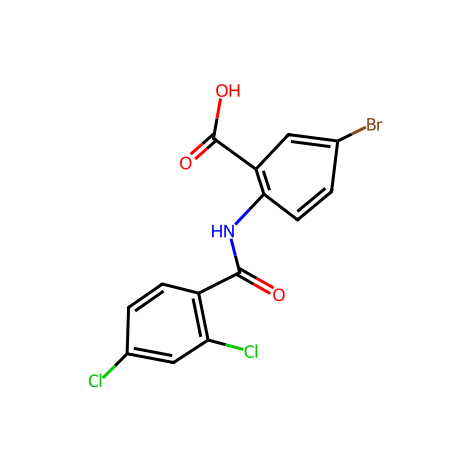 O=C(Nc1ccc(Br)cc1C(=O)O)c1ccc(Cl)cc1Cl